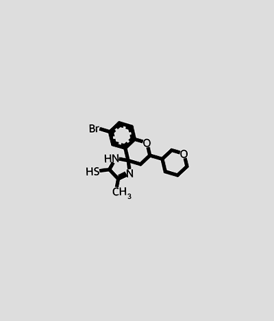 CC1=NC2(CC(C3CCCOC3)Oc3ccc(Br)cc32)NC1S